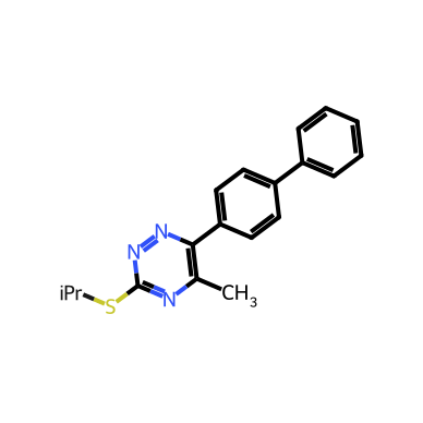 Cc1nc(SC(C)C)nnc1-c1ccc(-c2ccccc2)cc1